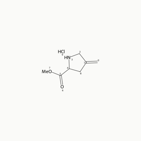 C=C1CNC(C(=O)OC)C1.Cl